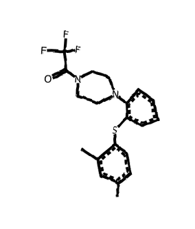 Cc1ccc(Sc2ccccc2N2CCN(C(=O)C(F)(F)F)CC2)c(C)c1